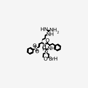 Br.N=C(N)NCCC[C@@H](/C=C/S(=O)(=O)c1ccccc1)NC(=O)C(Cc1ccccc1)NC(=O)N1CCOCC1